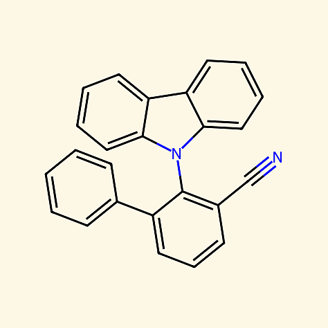 N#Cc1cccc(-c2ccccc2)c1-n1c2ccccc2c2ccccc21